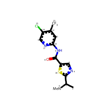 CNC(C)c1ncc(C(=O)Nc2cc(C(F)(F)F)c(Cl)cn2)s1